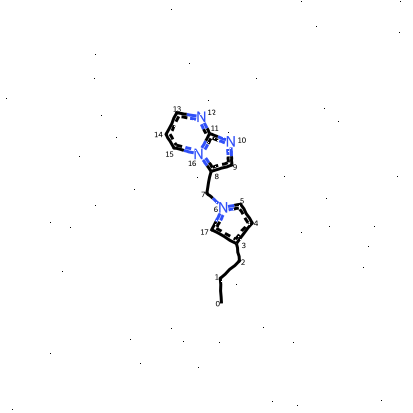 CCCc1ccn(Cc2cnc3ncccn23)c1